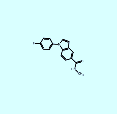 CNC(=O)c1ccc2c(ccn2-c2ccc(F)cc2)c1